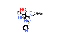 CCc1[nH]c2nc(Sc3cccnc3)nc(NCOC)c2c1CO